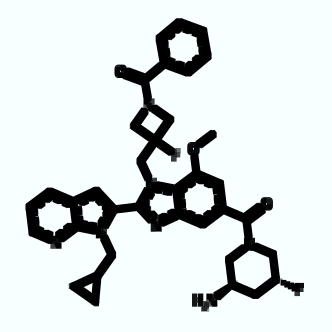 COc1cc(C(=O)N2C[C@H](N)C[C@@H](F)C2)cc2nc(-c3cc4cccnc4n3CC3CC3)n(CC3(F)CN(C(=O)c4ccccc4)C3)c12